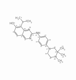 CC(C)c1c(O)ccc2cnc(Nc3ccc(N4CCN(C)C(C)(C)C4)cc3)nc12